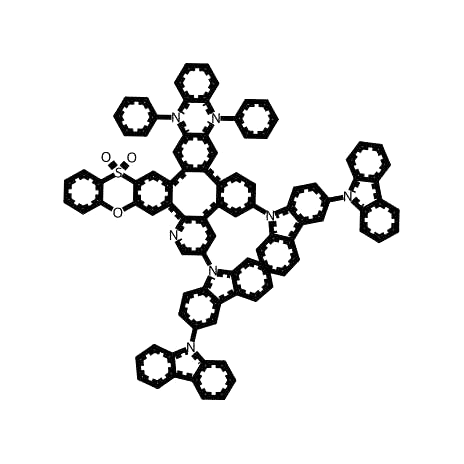 O=S1(=O)c2ccccc2Oc2cc3c(cc21)c1cc2c(cc1c1ccc(-n4c5ccccc5c5cc(-n6c7ccccc7c7ccccc76)ccc54)cc1c1cc(-n4c5ccccc5c5cc(-n6c7ccccc7c7ccccc76)ccc54)cnc13)n(-c1ccccc1)c1ccccc1n2-c1ccccc1